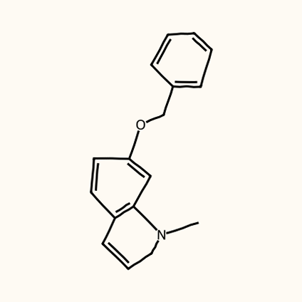 CN1CC=Cc2ccc(OCc3ccccc3)cc21